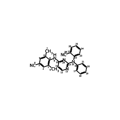 Cc1cc(C#N)cc(C)c1Nc1ccnc(N(c2ccccc2)c2ccccc2C#N)n1